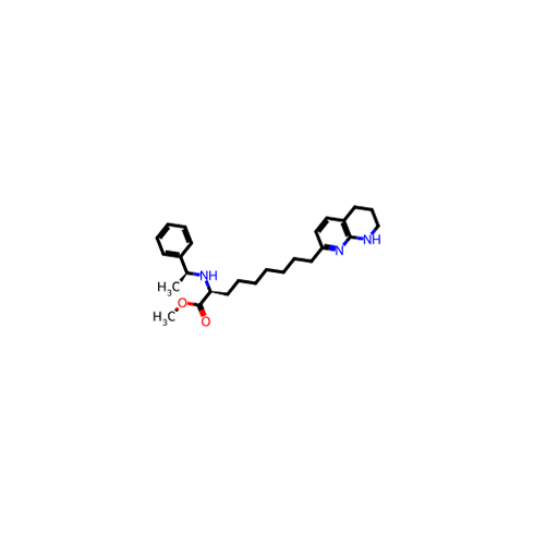 COC(=O)[C@H](CCCCCCCc1ccc2c(n1)NCCC2)N[C@@H](C)c1ccccc1